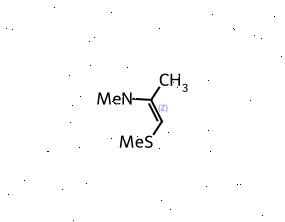 CN/C(C)=C\SC